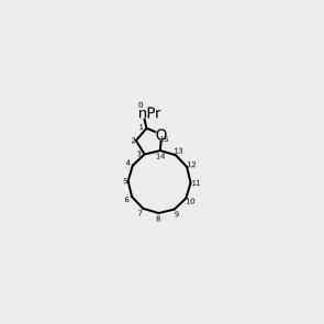 CCCC1CC2CCCCCCCCCCC2O1